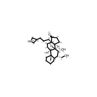 C[C@]12CCCCC1[C@@H](CO)[C@@H](O)[C@H]1[C@@H]3CCC(=O)[C@@]3(CCCC3CNC3)CC[C@@H]12